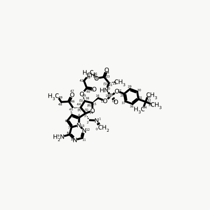 C=NC[C@@]1(c2ccc3c(N)ncnn23)O[C@H](COP(=O)(N[C@@H](C)C(=O)OC)Oc2ccc(C(C)(C)C)cc2)[C@@H](OC(=O)CC)[C@H]1CC(=O)CC